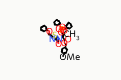 COc1ccc(COC(=O)C(=C(C)OP(=O)(Oc2ccccc2)Oc2ccccc2)N2C(=O)C3N=C(COc4ccccc4)SC32)cc1